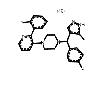 Cc1[nH]ncc1C(c1ccc(F)cc1)N1CCN(c2cccnc2-c2ccccc2F)CC1.Cl